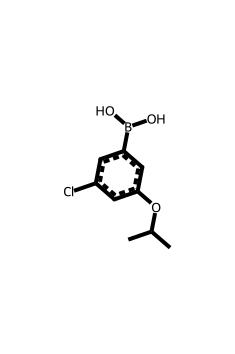 CC(C)Oc1cc(Cl)cc(B(O)O)c1